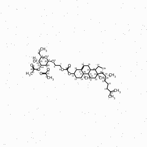 CC[C@H]1O[C@@H](OCCOC(=O)OC2CC[C@@]3(C)C(=CCC4C3CC[C@@]3(C)C4CC[C@@H]3[C@H](C)CCCC(C)C)C2)[C@H](OC(C)=O)[C@@H](OC(C)=O)[C@@H]1C